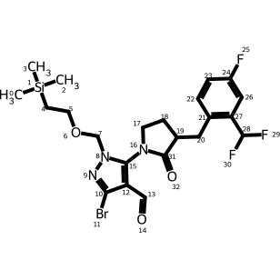 C[Si](C)(C)CCOCn1nc(Br)c(C=O)c1N1CCC(Cc2ccc(F)cc2C(F)F)C1=O